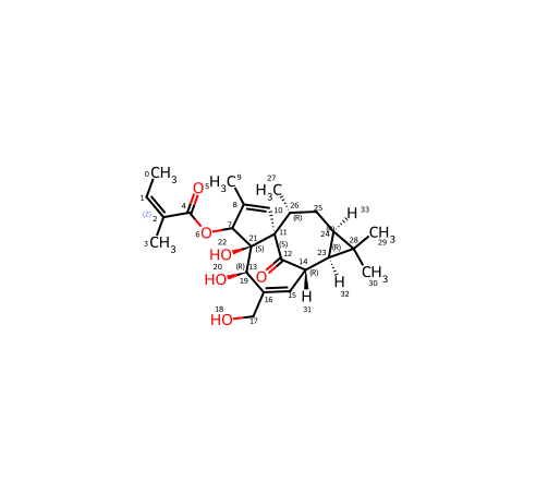 C/C=C(/C)C(=O)OC1C(C)=C[C@]23C(=O)[C@@H](C=C(CO)[C@@H](O)[C@]12O)[C@H]1[C@@H](C[C@H]3C)C1(C)C